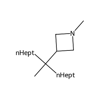 CCCCCCCC(C)(CCCCCCC)C1CN(C)C1